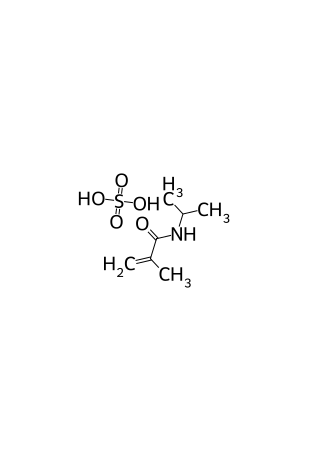 C=C(C)C(=O)NC(C)C.O=S(=O)(O)O